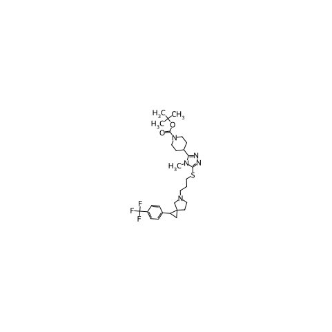 Cn1c(SCCCN2CCC3(CC3c3ccc(C(F)(F)F)cc3)C2)nnc1C1CCN(C(=O)OC(C)(C)C)CC1